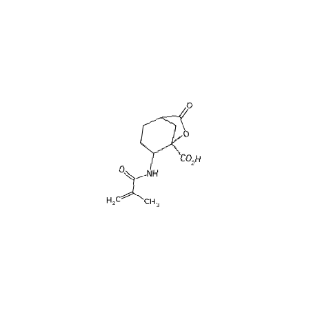 C=C(C)C(=O)NC1CCC2CC1(C(=O)O)OC2=O